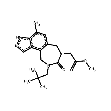 Bc1cc2c(c3cn[nH]c13)CN(CC(C)(C)C)C(=O)[C@H](CC(=O)OC)C2